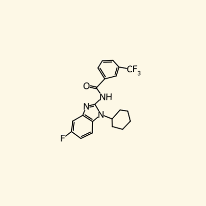 O=C(Nc1nc2cc(F)ccc2n1C1CCCCC1)c1cccc(C(F)(F)F)c1